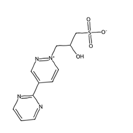 O=S(=O)([O-])CC(O)C[n+]1ccc(-c2ncccn2)cn1